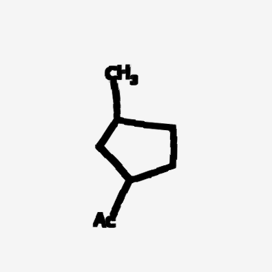 CC(=O)C1CCC(C)C1